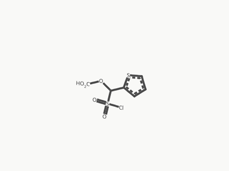 O=C(O)OC(c1cccs1)S(=O)(=O)Cl